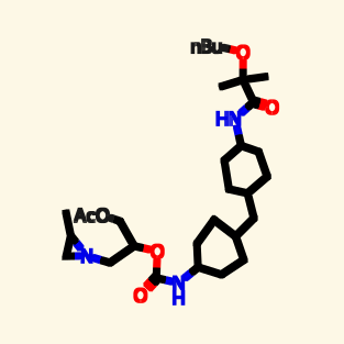 CCCCOC(C)(C)C(=O)NC1CCC(CC2CCC(NC(=O)OC(COC(C)=O)CN3CC3C)CC2)CC1